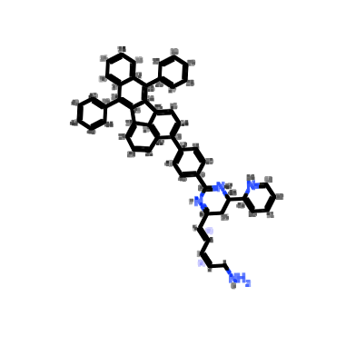 NC/C=C\C=C\C1=NC(c2ccc(-c3ccc4c5c(cccc35)-c3c-4c(-c4ccccc4)c4ccccc4c3-c3ccccc3)cc2)=NC(c2ccccn2)C1